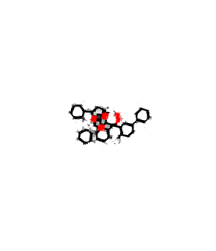 c1ccc(-c2ccc3c(c2)C2(c4ccccc4Oc4ccccc42)c2c(cccc2-c2cccc4c5ccccc5n(-c5ccccc5)c24)O3)cc1